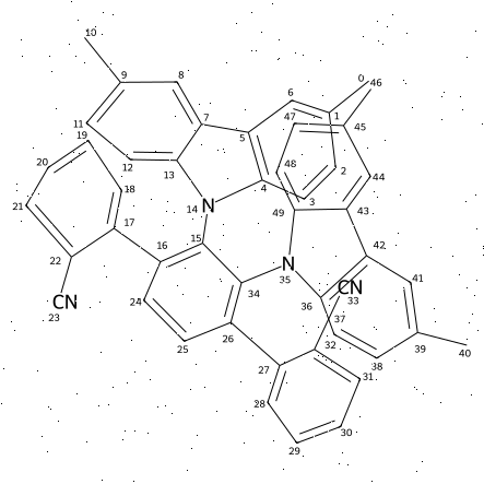 Cc1ccc2c(c1)c1cc(C)ccc1n2-c1c(-c2ccccc2C#N)ccc(-c2ccccc2C#N)c1-n1c2ccc(C)cc2c2cc(C)ccc21